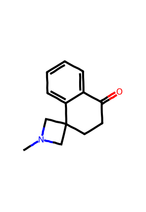 CN1CC2(CCC(=O)c3ccccc32)C1